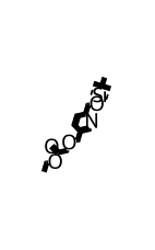 CCOC(=O)COCc1ccc(CO[Si](C)(C)C(C)(C)C)nc1